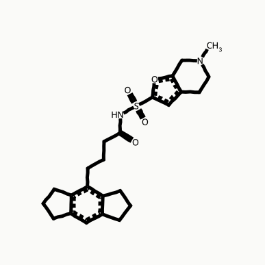 CN1CCc2cc(S(=O)(=O)NC(=O)CCCc3c4c(cc5c3CCC5)CCC4)oc2C1